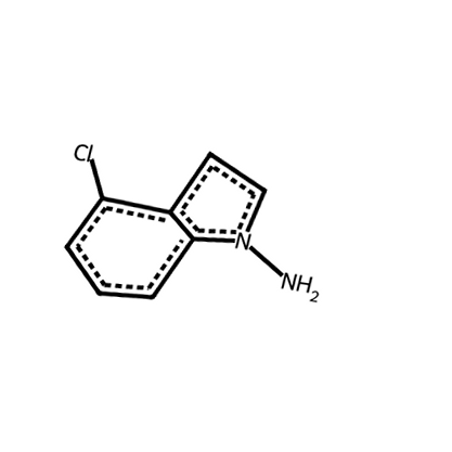 Nn1ccc2c(Cl)cccc21